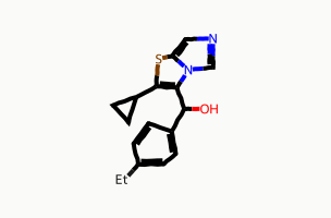 CCc1ccc(C(O)c2c(C3CC3)sc3cncn23)cc1